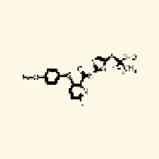 COc1ccc(Sc2ccc(Cl)nc2C(=O)Nc2ncc(SC(C)(C)C=O)s2)cc1